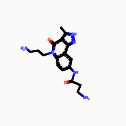 Cc1[nH]nc2c1c(=O)n(CCCN)c1ccc(NC(=O)CCN)cc21